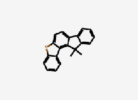 CC1(C)c2ccccc2-c2ccc3sc4ccccc4c3c21